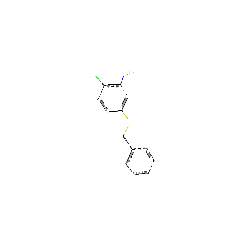 Nc1cc(SCc2ccccc2)ccc1Cl